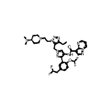 CCc1nnn(CCN2CCC(N(C)C)CC2)c1Cn1cc(NC(=O)c2cnn3cccnc23)c(-c2cc(CC(F)F)ccc2OC(F)F)n1